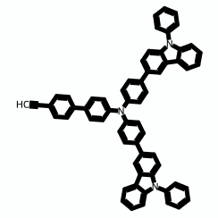 C#Cc1ccc(-c2ccc(N(c3ccc(-c4ccc5c(c4)c4ccccc4n5-c4ccccc4)cc3)c3ccc(-c4ccc5c(c4)c4ccccc4n5-c4ccccc4)cc3)cc2)cc1